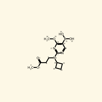 COC(=O)CCN(c1ncc(B(O)O)c(OC)n1)C1CCC1